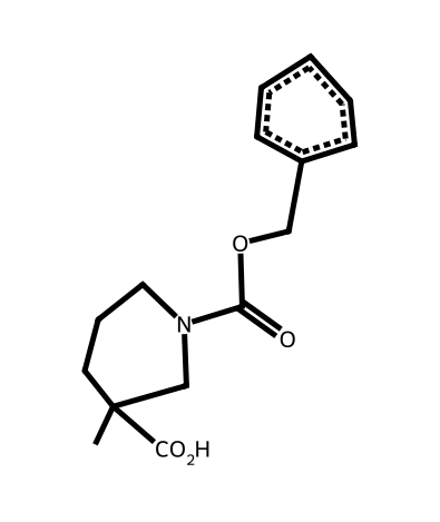 CC1(C(=O)O)CCCN(C(=O)OCc2ccccc2)C1